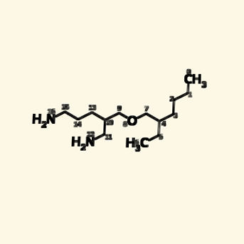 CCCCC(CC)COCC(CN)CCCN